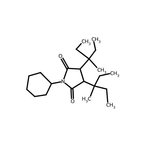 CCC(C)(CC)C1C(=O)N(C2CCCCC2)C(=O)C1C(C)(CC)CC